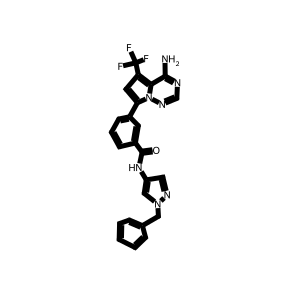 Nc1ncnn2c(-c3cccc(C(=O)Nc4cnn(Cc5ccccc5)c4)c3)cc(C(F)(F)F)c12